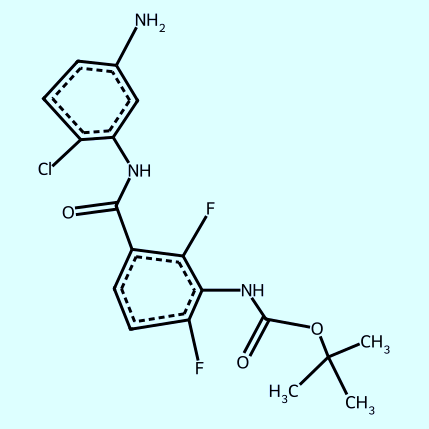 CC(C)(C)OC(=O)Nc1c(F)ccc(C(=O)Nc2cc(N)ccc2Cl)c1F